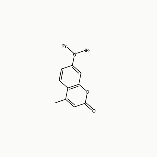 Cc1cc(=O)oc2cc(N(C(C)C)C(C)C)ccc12